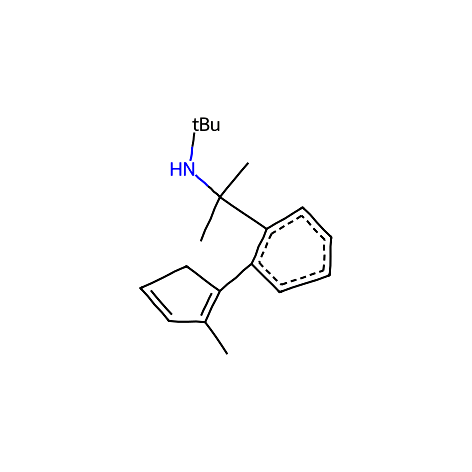 CC1=C(c2ccccc2C(C)(C)NC(C)(C)C)CC=C1